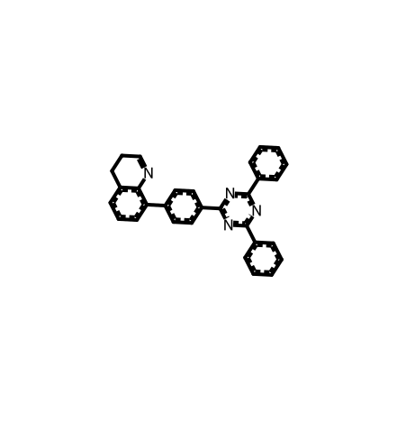 C1=Nc2c(cccc2-c2ccc(-c3nc(-c4ccccc4)nc(-c4ccccc4)n3)cc2)CC1